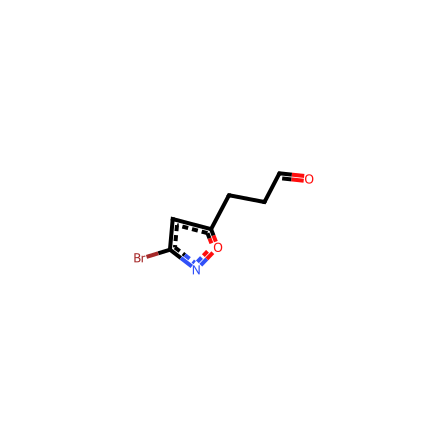 O=CCCc1cc(Br)no1